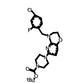 CC(C)(C)OC(=O)N1CCN(c2ccc3c(n2)N(Cc2ccc(Cl)cc2F)CCO3)CC1